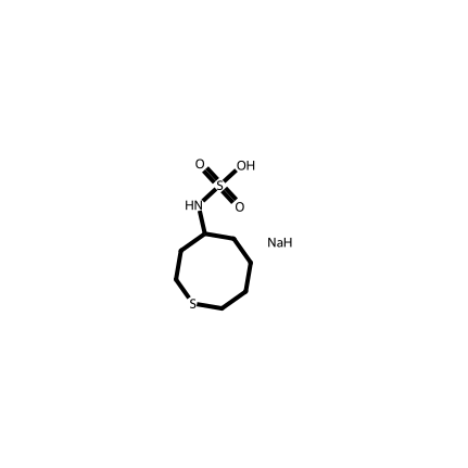 O=S(=O)(O)NC1CCCCSCC1.[NaH]